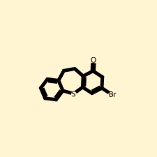 O=C1CC(Br)=CC2=C1CCc1ccccc1S2